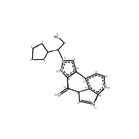 N#CCC(C1CCCC1)n1cc2c(n1)C(=O)C1C=Nc3nccc-2c31